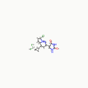 O=c1[nH]cc(-c2cc([C@H]3C[C@@H]3C(F)F)c3ccc(Cl)n3n2)c(=O)[nH]1